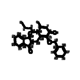 CCCCn1c(C)cc(=O)c(OCc2ccccc2)c1CN1C(=O)c2ccccc2C1=O